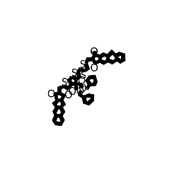 O=C1C(=Cc2cc3c(s2)-c2sc4c(sc5cc(C=C6C(=O)c7cc8cc9ccccc9cc8cc7C6=O)sc54)c2C3(C(=O)OCc2ccccc2)C(=O)OCc2ccccc2)C(=O)c2cc3cc4ccccc4cc3cc21